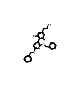 OCCc1cc(F)c(-c2ccc(OCc3ccccc3)nc2OCc2ccccc2)c(F)c1